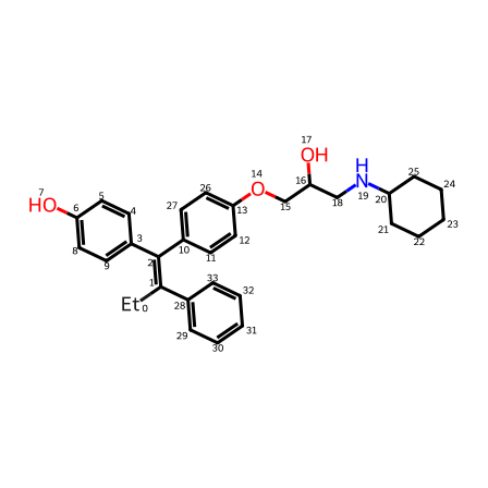 CC/C(=C(\c1ccc(O)cc1)c1ccc(OCC(O)CNC2CCCCC2)cc1)c1ccccc1